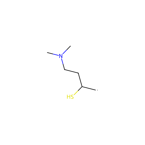 [CH2]C(S)CCN(C)C